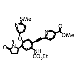 CCOC(=O)Nc1cc(C2CCC(=O)N2C)c(Oc2ccc(SC)nc2)cc1C#Cc1ccc(C(=O)OC)cn1